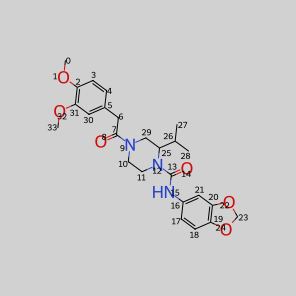 COc1ccc(CC(=O)N2CCN(C(=O)Nc3ccc4c(c3)OCO4)C(C(C)C)C2)cc1OC